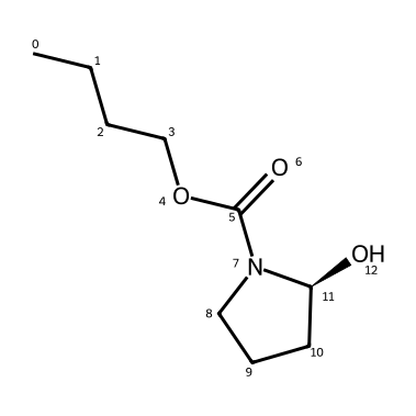 CCCCOC(=O)N1CCC[C@@H]1O